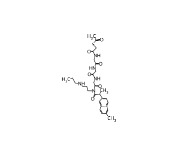 CCCNCCCN(C(=O)CNC(=O)CNC(=O)CNC(=O)CSC(C)=O)C(=O)[C@@H](C)c1ccc2cc(C)ccc2c1